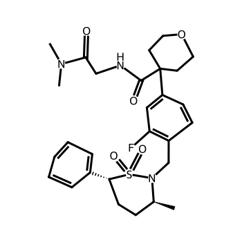 C[C@H]1CC[C@H](c2ccccc2)S(=O)(=O)N1Cc1ccc(C2(C(=O)NCC(=O)N(C)C)CCOCC2)cc1F